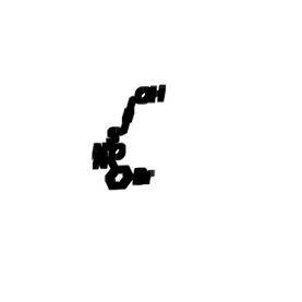 OCC#CCSc1nnc(-c2cccc(Br)c2)o1